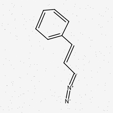 [N-]=[N+]=[C]/C=C/c1ccccc1